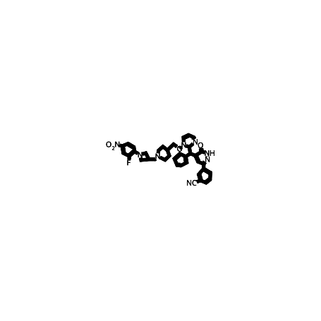 N#Cc1cccc(-c2cc(C(c3ccccc3)C3N=CC=CN3OCC3CCN(CC4CN(c5ccc([N+](=O)[O-])cc5F)C4)CC3)c(=O)[nH]n2)c1